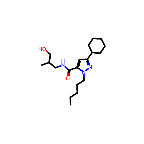 CCCCCn1nc(C2CCCCC2)cc1C(=O)NCC(C)CO